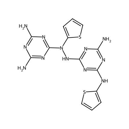 Nc1nc(Nc2cccs2)nc(NN(c2nc(N)nc(N)n2)c2cccs2)n1